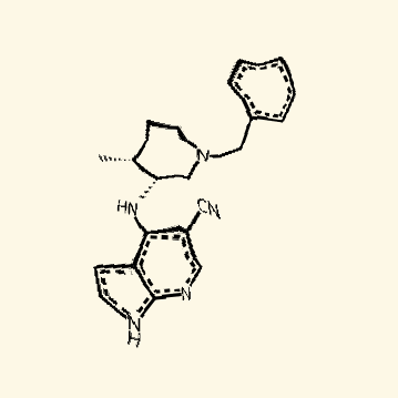 C[C@@H]1CCN(Cc2ccccc2)C[C@@H]1Nc1c(C#N)cnc2[nH]ccc12